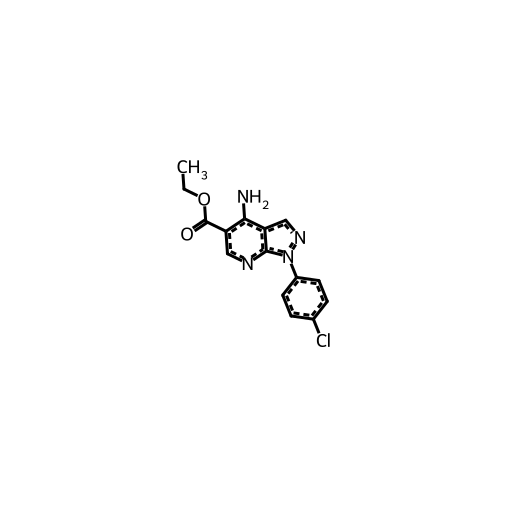 CCOC(=O)c1cnc2c(cnn2-c2ccc(Cl)cc2)c1N